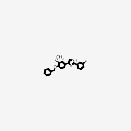 COc1cc(-c2c[nH]c(-c3cccc(F)c3)n2)ccc1OCc1ccccc1